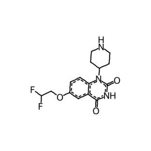 O=c1[nH]c(=O)n(C2CCNCC2)c2ccc(OCC(F)F)cc12